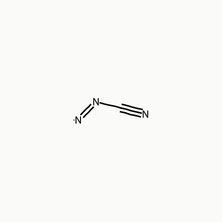 [N]=NC#N